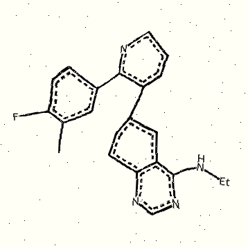 CCNc1ncnc2ccc(-c3cccnc3-c3ccc(F)c(C)c3)cc12